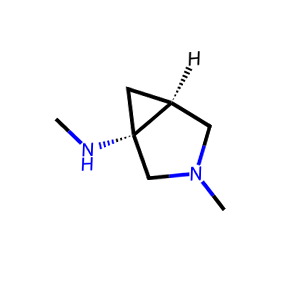 CN[C@]12C[C@H]1CN(C)C2